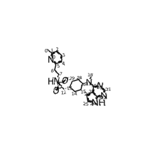 Cc1cccc(CCNS(=O)(=O)C[C@H]2CC[C@H](N(C)c3ncnc4[nH]ccc34)CC2)n1